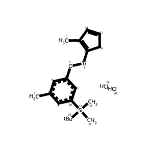 CC1=[C]([Ti][O]c2cc(C)cc([Si](C)(C)C(C)(C)C)c2)CC=C1.Cl.Cl